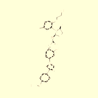 Cc1ccc(OCCC(F)(F)F)c(N2C(=O)CS/C2=N\C(=O)Nc2ccc(-n3cnc(-c4ccc(OC(F)(F)F)cc4)c3)cc2Cl)c1